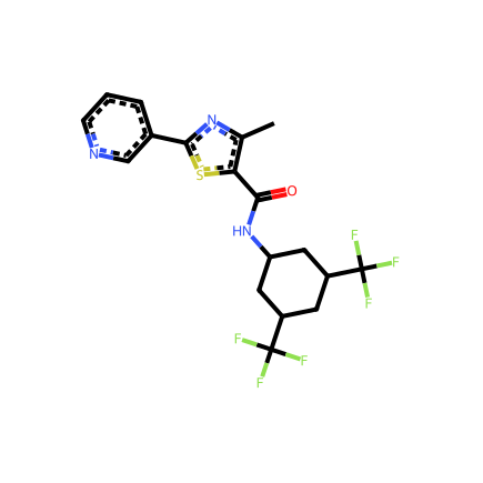 Cc1nc(-c2cccnc2)sc1C(=O)NC1CC(C(F)(F)F)CC(C(F)(F)F)C1